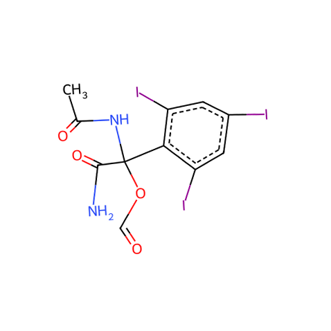 CC(=O)NC(OC=O)(C(N)=O)c1c(I)cc(I)cc1I